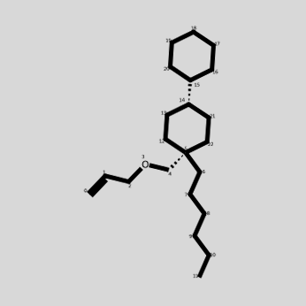 C=CCOC[C@]1(CCCCCC)CC[C@H](C2CCCCC2)CC1